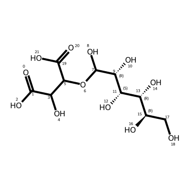 O=C(O)C(O)C(OC(O)[C@H](O)[C@@H](O)[C@H](O)[C@H](O)CO)C(=O)O